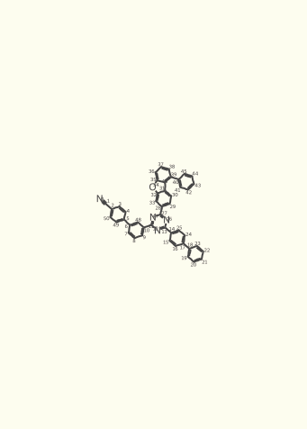 N#Cc1ccc(-c2cccc(-c3nc(-c4ccc(-c5ccccc5)cc4)nc(-c4ccc5c(c4)oc4cccc(-c6ccccc6)c45)n3)c2)cc1